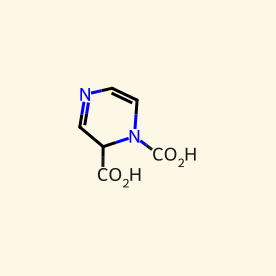 O=C(O)C1C=NC=CN1C(=O)O